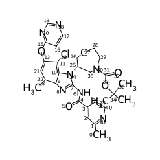 Cc1cc(C(=O)NC2=NC3C(=C(Cl)C(Oc4ccncn4)=CC3C)N2[C@@H]2CCCCN(C(=O)OC(C)(C)C)C2)ccn1